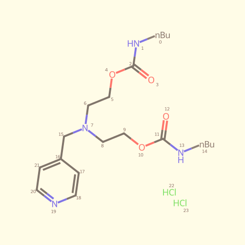 CCCCNC(=O)OCCN(CCOC(=O)NCCCC)Cc1ccncc1.Cl.Cl